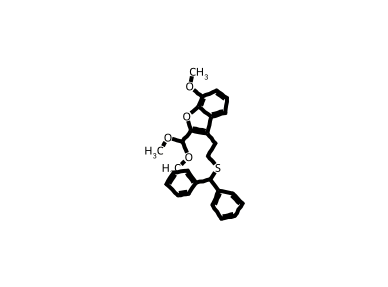 COc1cccc2c(CCSC(c3ccccc3)c3ccccc3)c(C(OC)OC)oc12